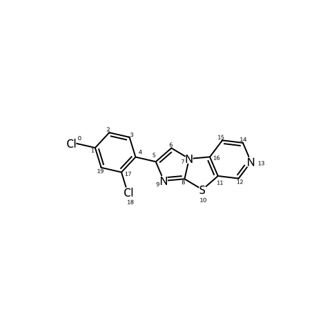 Clc1ccc(-c2cn3c(n2)sc2cnccc23)c(Cl)c1